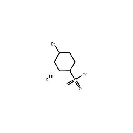 CCC1CCC(S(=O)(=O)[O-])CC1.F.[K+]